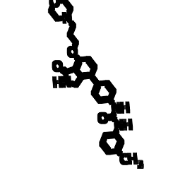 Cc1cccc(NC(=O)Nc2ccc(-c3ccc(OCCCN4CCOCC4)c4c3CNC4=O)cc2)c1